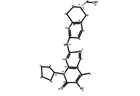 CC(=O)c1c(C)c2cnc(Nc3ccc4c(n3)CC[C@H](CO)C4)nc2n(C2CCCC2)c1=O